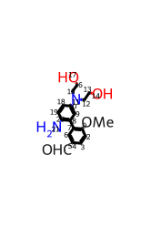 COc1ccc(C=O)cc1-c1cc(N(CCO)CCO)ccc1N